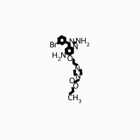 CCCCOC(=O)CN1CCN(CCCOc2cc3nc(N)nc(-c4cccc(Br)c4)c3cc2N)CC1